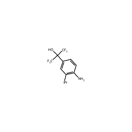 CC(C)c1cc(C(O)(C(F)(F)F)C(F)(F)F)ccc1N